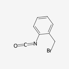 O=C=Nc1ccccc1CBr